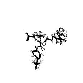 C=C(C)C(=O)OC(OCCCC(F)(F)C(F)(F)S(=O)(=O)O)(C(=O)Oc1ccc(C(F)(F)F)cc1)C(F)(F)F